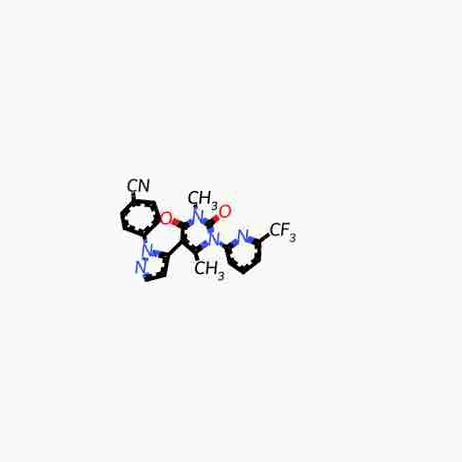 Cc1c(-c2ccnn2-c2ccc(C#N)cc2)c(=O)n(C)c(=O)n1-c1cccc(C(F)(F)F)n1